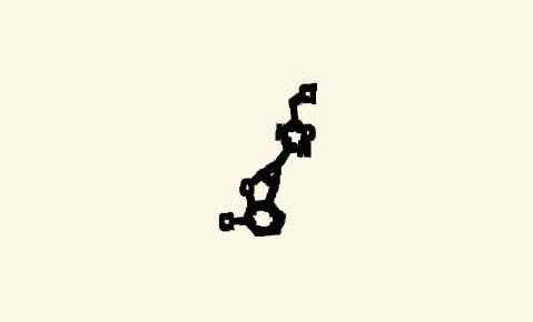 ClCc1nc(C2C3Oc4c(Cl)cccc4C32)no1